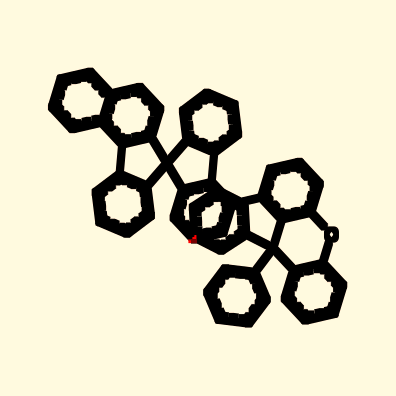 c1ccc(C2(c3ccccc3)c3ccccc3Oc3cccc(-c4cccc5c4-c4ccccc4C54c5ccccc5-c5c4ccc4ccccc54)c32)cc1